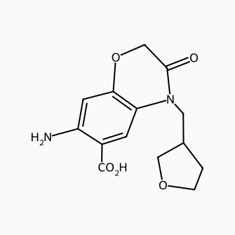 Nc1cc2c(cc1C(=O)O)N(CC1CCOC1)C(=O)CO2